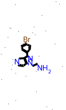 NCCn1nc(-c2ccc(Br)cc2)c2cnccc21